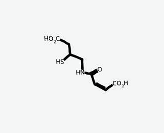 O=C(O)/C=C\C(=O)NCC(S)CC(=O)O